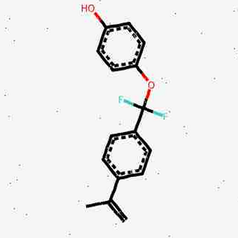 C=C(C)c1ccc(C(F)(F)Oc2ccc(O)cc2)cc1